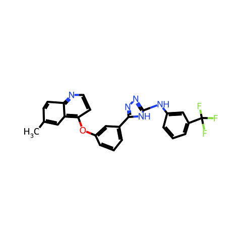 Cc1ccc2nccc(Oc3cccc(-c4nnc(Nc5cccc(C(F)(F)F)c5)[nH]4)c3)c2c1